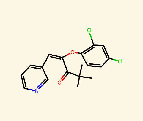 CC(C)(C)C(=O)/C(=C\c1cccnc1)Oc1ccc(Cl)cc1Cl